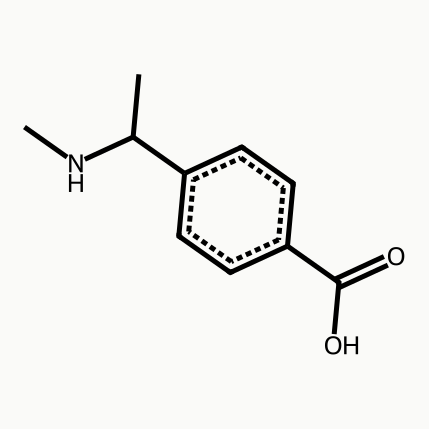 CNC(C)c1ccc(C(=O)O)cc1